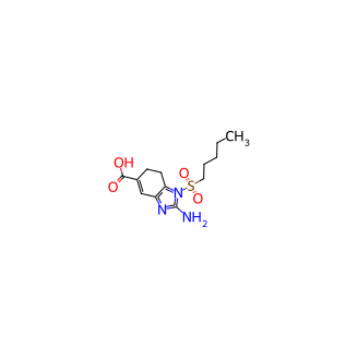 CCCCCS(=O)(=O)n1c(N)nc2c1CCC(C(=O)O)=C2